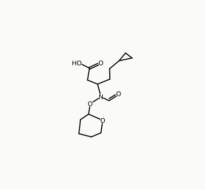 O=CN(OC1CCCCO1)C(CCC1CC1)CC(=O)O